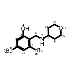 CC(C)(C)c1cc(O)c(CNC2CCOCC2)c(C(C)(C)C)c1